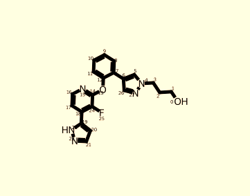 OCCCn1cc(-c2ccccc2Oc2nccc(-c3ccn[nH]3)c2F)cn1